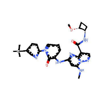 CNc1cc(Nc2cccn(-c3ccc([Si](C)(C)C)cn3)c2=O)nc2c(C(=O)N[C@@H]3CC[C@H]3OC)cnn12